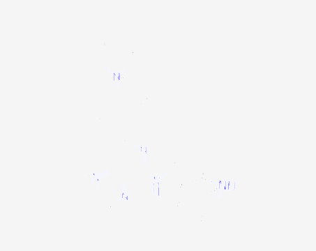 CCN(CC)c1ccc(-c2cc3nccnc3c(NCC3CCCNC3)n2)cc1